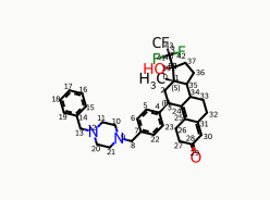 C[C@]12C[C@H](c3ccc(CN4CCN(Cc5ccccc5)CC4)cc3)C3=C4CCC(=O)C=C4CCC3C1CC[C@@]2(O)C(F)(F)C(F)(F)F